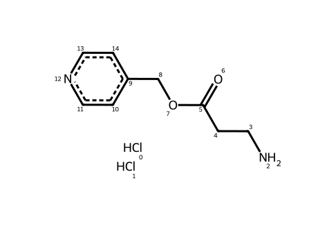 Cl.Cl.NCCC(=O)OCc1ccncc1